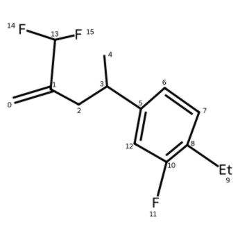 C=C(CC(C)c1ccc(CC)c(F)c1)C(F)F